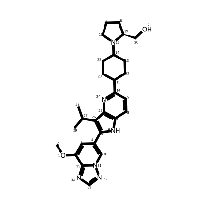 COc1cc(-c2[nH]c3ccc(C4CCC(N5CCC[C@H]5CO)CC4)nc3c2C(C)C)cn2ncnc12